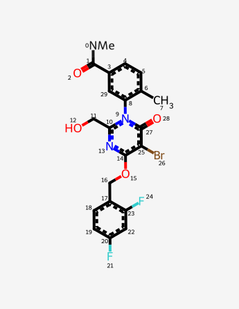 CNC(=O)c1ccc(C)c(-n2c(CO)nc(OCc3ccc(F)cc3F)c(Br)c2=O)c1